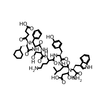 CC(C)CC(NC(=O)[C@H](Cc1ccc(O)cc1)NC(=O)C(CCCN)NC(=O)C(CO)NC(=O)C(Cc1ccccc1)NC(=O)[C@H](CC1CCCCC1)NC(=O)CCC(=O)O)C(=O)N(C(O)CC(=O)O)[C@@H](Cc1c[nH]c2ccccc12)C(N)=O